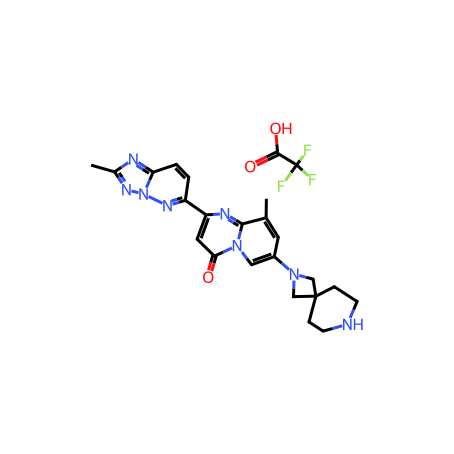 Cc1nc2ccc(-c3cc(=O)n4cc(N5CC6(CCNCC6)C5)cc(C)c4n3)nn2n1.O=C(O)C(F)(F)F